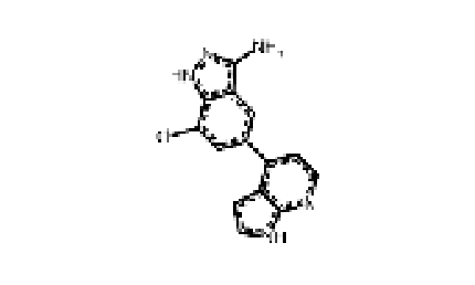 Nc1n[nH]c2c(Cl)cc(-c3ccnc4[nH]ccc34)cc12